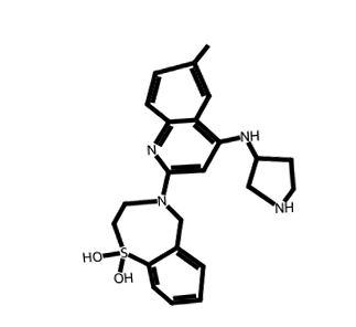 Cc1ccc2nc(N3CCS(O)(O)c4ccccc4C3)cc(NC3CCNC3)c2c1